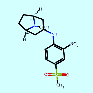 CS(=O)(=O)c1ccc(NC2C[C@H]3CC[C@@H](C2)N3C(=O)O)c([N+](=O)[O-])c1